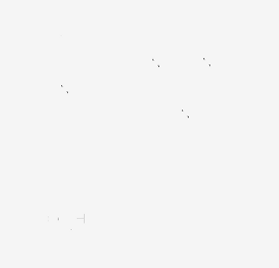 O=C(O)c1ccc(N2CCCC2CNc2ncccn2)cc1